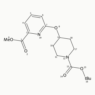 COC(=O)c1cccc(OC2CCN(C(=O)OC(C)(C)C)CC2)n1